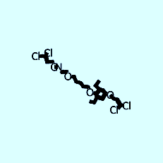 CCc1cc(OCC=C(Cl)Cl)cc(CC)c1OCCCCCOCC=NOCC=C(Cl)Cl